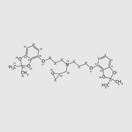 CC1(C)Oc2cccc(OCCCN(CCCOc3cccc4c3OC(C)(C)O4)CC3CO3)c2O1